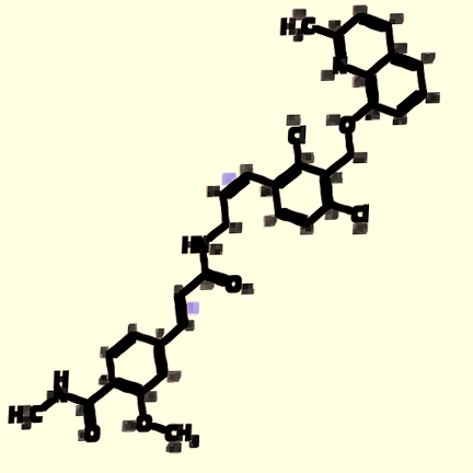 CNC(=O)c1ccc(/C=C/C(=O)NC/C=C\c2ccc(Cl)c(COc3cccc4ccc(C)nc34)c2Cl)cc1OC